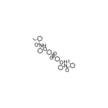 C=Cc1ccccc1C(=O)Nc1ccccc1Oc1ccc(S(=O)(=O)c2ccc(Oc3ccccc3NC(=O)c3ccccc3C=C)cc2)cc1